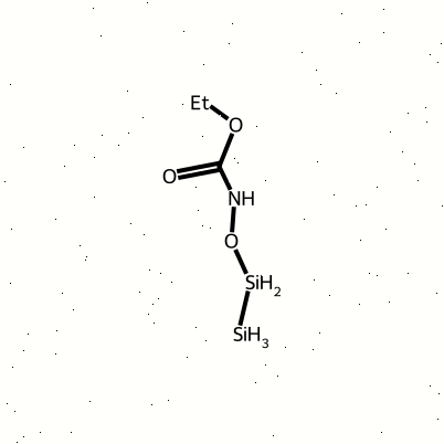 CCOC(=O)NO[SiH2][SiH3]